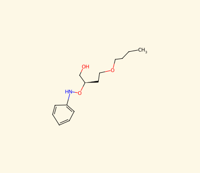 CCCCOCC[C@H](CO)ONc1ccccc1